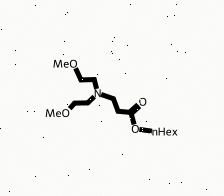 CCCCCCOC(=O)CCN(CCOC)CCOC